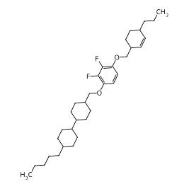 CCCCCC1CCC(C2CCC(COc3ccc(OCC4C=CC(CCC)CC4)c(F)c3F)CC2)CC1